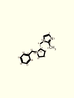 Cc1nccn1C[C@@H]1CCCN1Cc1ccccc1